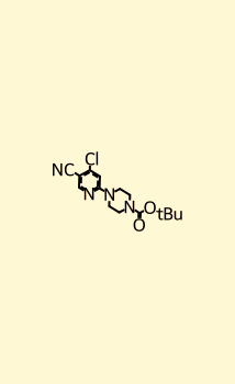 CC(C)(C)OC(=O)N1CCN(c2cc(Cl)c(C#N)cn2)CC1